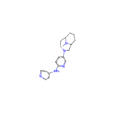 CN1C2CCCC1CN(c1ccc(Nc3ccncc3)nc1)CC2